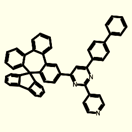 c1ccc(-c2ccc(-c3cc(-c4ccc5c(c4)-c4ccccc4-c4ccccc4C54c5ccccc5-c5ccccc54)nc(-c4ccncc4)n3)cc2)cc1